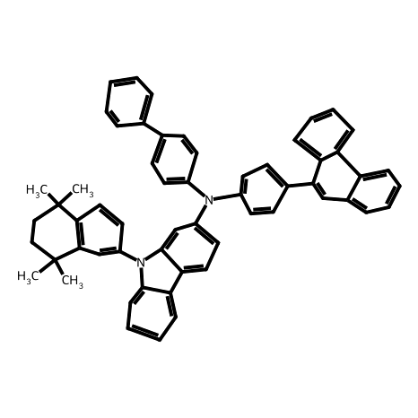 CC1(C)CCC(C)(C)c2cc(-n3c4ccccc4c4ccc(N(c5ccc(-c6ccccc6)cc5)c5ccc(-c6cc7ccccc7c7ccccc67)cc5)cc43)ccc21